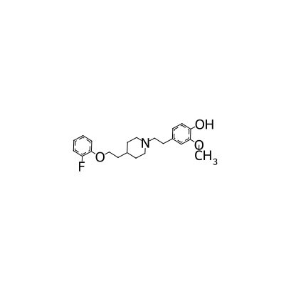 COc1cc(CCN2CCC(CCOc3ccccc3F)CC2)ccc1O